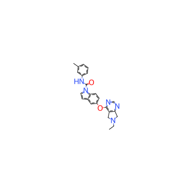 CCN1Cc2ncnc(Oc3ccc4c(ccn4C(=O)Nc4cccc(C)c4)c3)c2C1